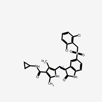 Cc1[nH]c(/C=C2\C(=O)Nc3ccc(S(=O)(=O)Cc4c(Cl)cccc4Cl)cc32)c(C)c1C(=O)NC1CC1